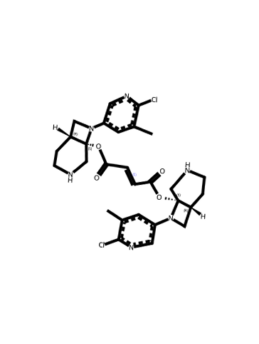 Cc1cc(N2C[C@H]3CCNC[C@@]32OC(=O)/C=C/C(=O)O[C@]23CNCC[C@@H]2CN3c2cnc(Cl)c(C)c2)cnc1Cl